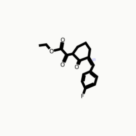 CCOC(=O)C(=O)C1CCC/C(=C/c2ccc(F)cc2)C1=O